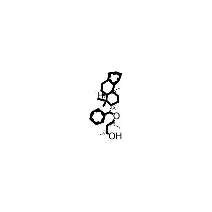 C[C@H](C[C@@H](C)O)OC(c1ccccc1)[C@H]1CC[C@]2(C)c3ccccc3CC[C@H]2C1(C)C